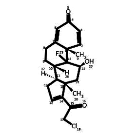 C[C@]12C=CC(=O)C=C1CC[C@H]1[C@@H]3CC=C(C(=O)CCl)[C@@]3(C)C[C@H](O)C12F